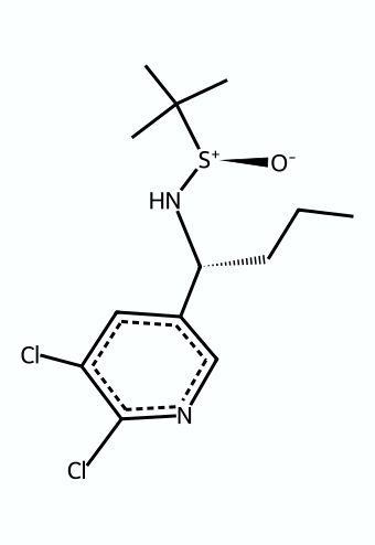 CCC[C@@H](N[S@+]([O-])C(C)(C)C)c1cnc(Cl)c(Cl)c1